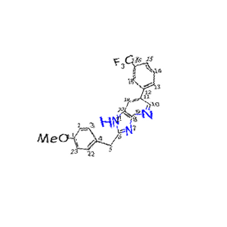 COc1ccc(Cc2nc3ncc(-c4cccc(C(F)(F)F)c4)cc3[nH]2)cc1